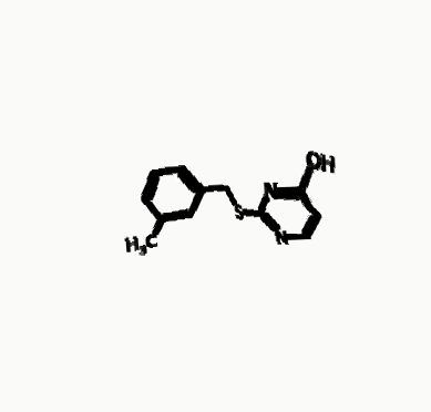 Cc1cccc(CSc2nccc(O)n2)c1